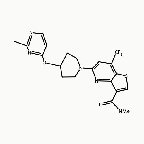 CNC(=O)c1csc2c(C(F)(F)F)cc(N3CCC(Oc4ccnc(C)n4)CC3)nc12